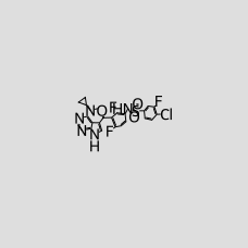 CN(c1ncnc2[nH]cc(C(=O)c3c(F)ccc(NS(=O)(=O)c4ccc(Cl)c(F)c4)c3F)c12)C1CC1